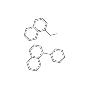 CCc1cccc2ccccc12.c1ccc(-c2cccc3ccccc23)cc1